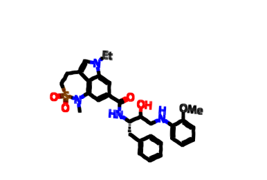 CCn1cc2c3c(cc(C(=O)N[C@@H](Cc4ccccc4)C(O)CNc4ccccc4OC)cc31)N(C)S(=O)(=O)CC2